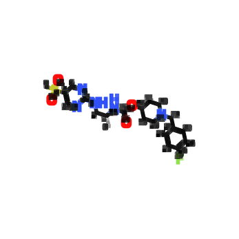 C[C@H](CNc1ncc(S(C)(=O)=O)cn1)NC(=O)OC1CCN(Cc2ccc(F)cc2)CC1